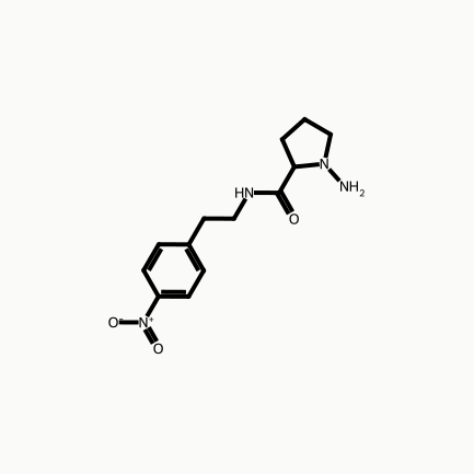 NN1CCCC1C(=O)NCCc1ccc([N+](=O)[O-])cc1